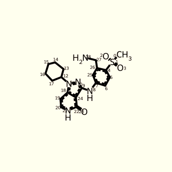 CS(=O)(=O)c1ccc(Nc2nn(C3CCCCC3)c3cc[nH]c(=O)c23)cc1CN